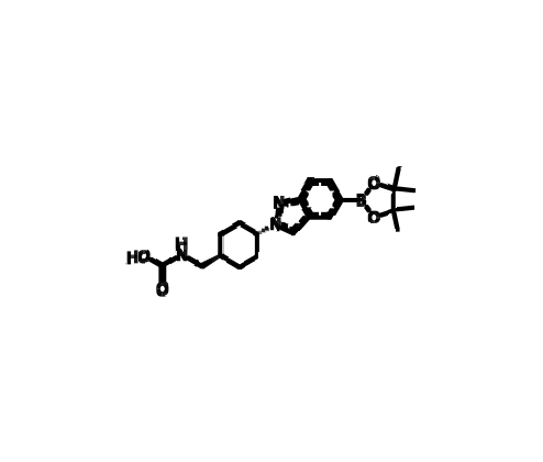 CC1(C)OB(c2ccc3nn([C@H]4CC[C@H](CNC(=O)O)CC4)cc3c2)OC1(C)C